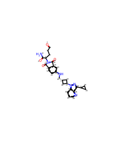 NC(=O)C(CCC=O)N1C(=O)c2ccc(NC[C@H]3C[C@H](n4nc(C5CC5)c5ncccc54)C3)cc2C1=O